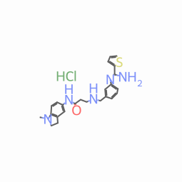 CN1CCc2cc(NC(=O)CCNCc3cccc(/N=C(\N)c4cccs4)c3)ccc21.Cl